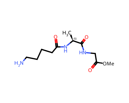 COC(=O)CNC(=O)[C@H](C)NC(=O)CCCCN